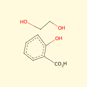 O=C(O)c1ccccc1O.OCCO